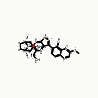 COc1cnc2ccc(-c3n[nH]c4nc(N5[C@H]6CC[C@@H]5[C@@H](F)[C@@H](N)C6)c(CO)nc34)c(Cl)c2n1